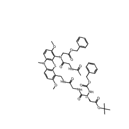 COc1ccc2c(c1CNC(=O)CNC(=O)[C@H](CC(=O)OC(C)(C)C)NC(=O)OCc1ccccc1)Sc1c(ccc(OC)c1N(CC(=O)OCc1ccccc1)C(=O)CNC(C)=O)N2C